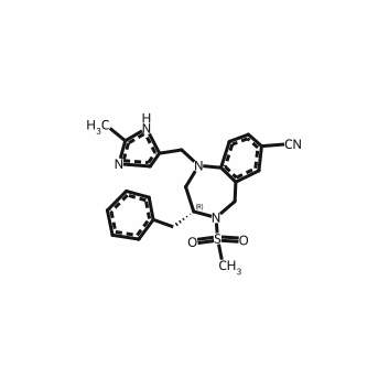 Cc1ncc(CN2C[C@@H](Cc3ccccc3)N(S(C)(=O)=O)Cc3cc(C#N)ccc32)[nH]1